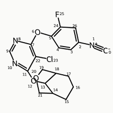 [C-]#[N+]c1ccc(Oc2ncnc(OC3C4CCCC3COC4)c2Cl)c(F)c1